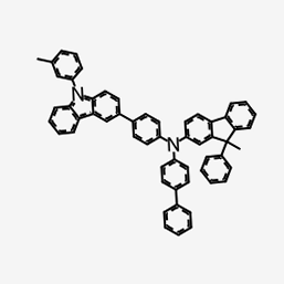 Cc1cccc(-n2c3ccccc3c3cc(-c4ccc(N(c5ccc(-c6ccccc6)cc5)c5ccc6c(c5)C(C)(c5ccccc5)c5ccccc5-6)cc4)ccc32)c1